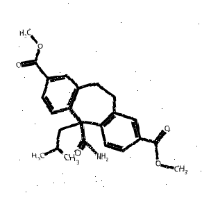 COC(=O)c1ccc2c(c1)CCc1cc(C(=O)OC)ccc1C2(CC(C)C)C(N)=O